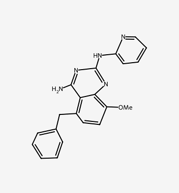 COc1ccc(Cc2ccccc2)c2c(N)nc(Nc3ccccn3)nc12